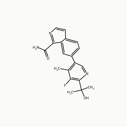 Cc1c(-c2ccc3c[c]nc(C(N)=O)c3c2)cnc(C(C)(C)O)c1F